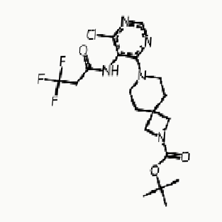 CC(C)(C)OC(=O)N1CC2(CCN(c3ncnc(Cl)c3NC(=O)CC(F)(F)F)CC2)C1